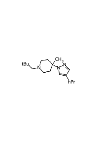 CCCc1cnn(C2(C)CCN(CC(C)(C)C)CC2)c1